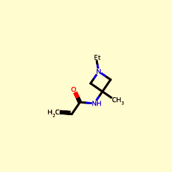 C=CC(=O)NC1(C)CN(CC)C1